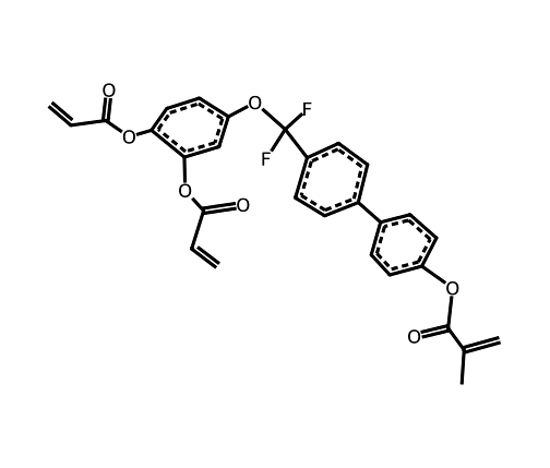 C=CC(=O)Oc1ccc(OC(F)(F)c2ccc(-c3ccc(OC(=O)C(=C)C)cc3)cc2)cc1OC(=O)C=C